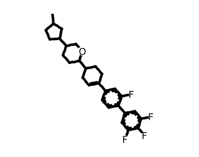 CC1CCC(C2CCC(C3CC=C(c4ccc(-c5cc(F)c(F)c(F)c5)c(F)c4)CC3)OC2)C1